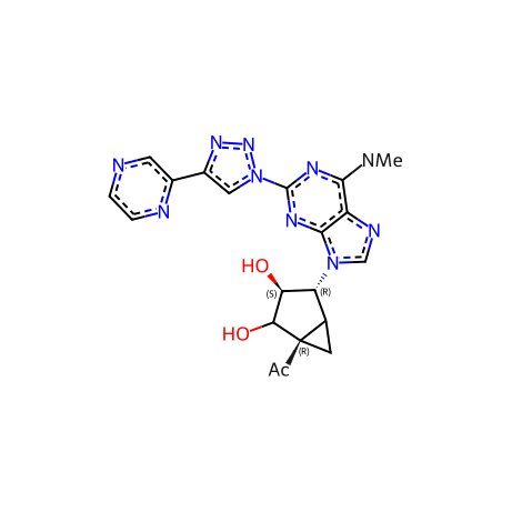 CNc1nc(-n2cc(-c3cnccn3)nn2)nc2c1ncn2[C@@H]1C2C[C@]2(C(C)=O)C(O)[C@H]1O